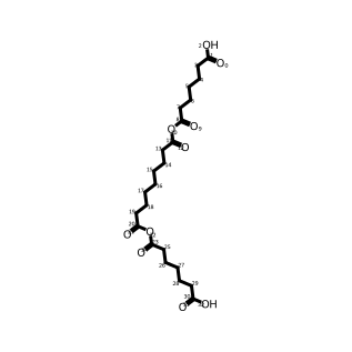 O=C(O)CCCCCC(=O)OC(=O)CCCCCCCC(=O)OC(=O)CCCCCC(=O)O